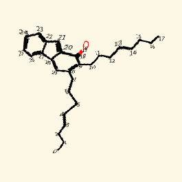 CCCCCCCCC1=C(CCCCCCCC)C(=O)C2=Cc3ccccc3C2=C1